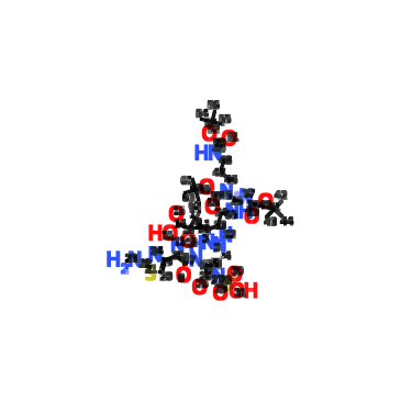 Cc1nn(C[C@H]2[C@H](NC(=O)C(=NOC3(C(=O)O)CC3)c3csc(N)n3)C(=O)N2S(=O)(=O)O)nc1CN/C(=N\C(=O)OC(C)(C)C)N(CCCNC(=O)OC(C)(C)C)C(=O)OC(C)(C)C